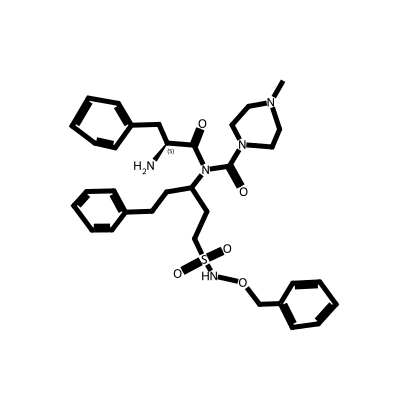 CN1CCN(C(=O)N(C(=O)[C@@H](N)Cc2ccccc2)C(CCc2ccccc2)CCS(=O)(=O)NOCc2ccccc2)CC1